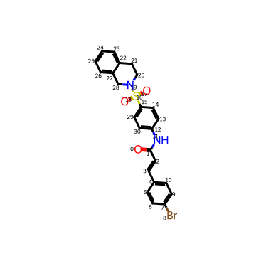 O=C(/C=C/c1ccc(Br)cc1)Nc1ccc(S(=O)(=O)N2CCc3ccccc3C2)cc1